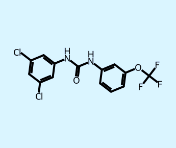 O=C(Nc1cc(Cl)cc(Cl)c1)Nc1cccc(OC(F)(F)F)c1